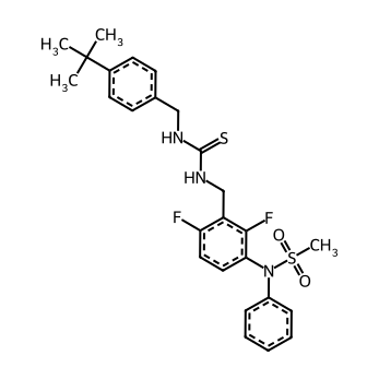 CC(C)(C)c1ccc(CNC(=S)NCc2c(F)ccc(N(c3ccccc3)S(C)(=O)=O)c2F)cc1